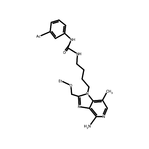 CCOCc1nc2c(N)ncc(C)c2n1CCCCNC(=O)Nc1cccc(C(C)=O)c1